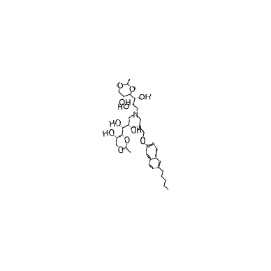 CCCCCc1ccc2cc(OCCCN(C[C@H](O)[C@@H](O)[C@@H]3OC(C)OC[C@H]3O)C[C@H](O)[C@@H](O)[C@@H]3OC(C)OC[C@H]3O)ccc2c1